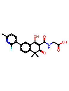 Cc1ccc(-c2ccc3c(c2)C(O)=C(C(=O)NCC(=O)O)C(=O)C3(C)C)c(F)n1